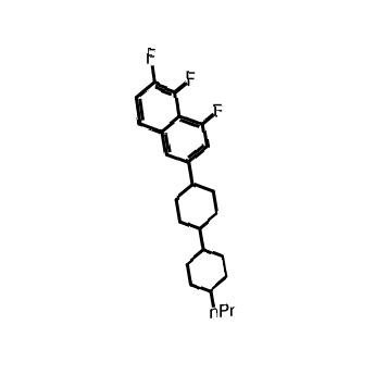 CCCC1CCC(C2CCC(c3cc(F)c4c(F)c(F)ccc4c3)CC2)CC1